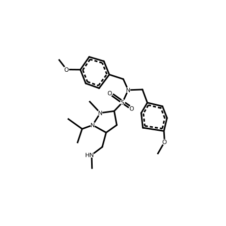 CNCC1CC(S(=O)(=O)N(Cc2ccc(OC)cc2)Cc2ccc(OC)cc2)N(C)N1C(C)C